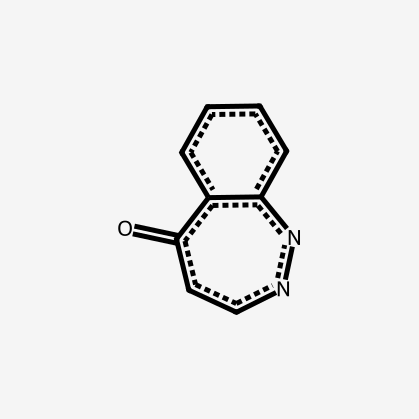 O=c1ccnnc2ccccc12